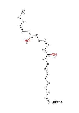 CCCCC/C=C\CCCCCCCCC(O)C/C=C\CCC(O)C/C=C\CCC(C)=O